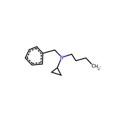 [CH2]CCCN(Cc1ccccc1)C1CC1